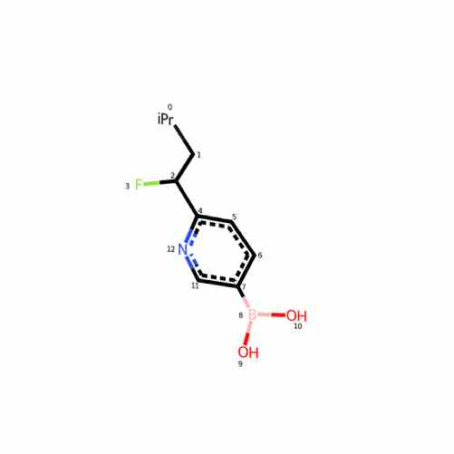 CC(C)CC(F)c1ccc(B(O)O)cn1